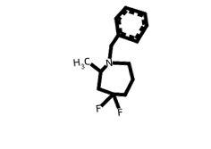 CC1CC(F)(F)CCCN1Cc1ccccc1